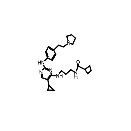 O=C(NCCCNc1nc(Nc2ccc(CCN3CCCC3)cc2)ncc1C1CC1)C1CCC1